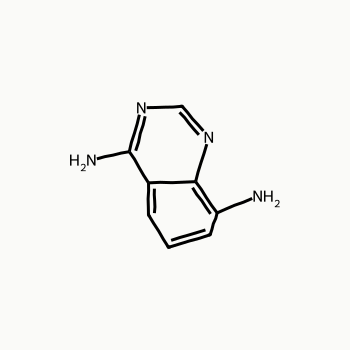 Nc1ncnc2c(N)cccc12